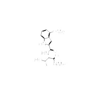 CNC(=O)[C@@H](NC(=O)c1cc2c(OC)cccc2[nH]1)[C@@H](C)O